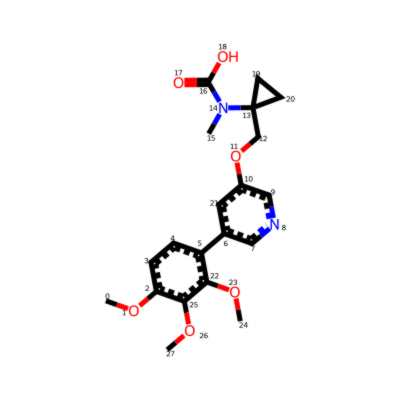 COc1ccc(-c2cncc(OCC3(N(C)C(=O)O)CC3)c2)c(OC)c1OC